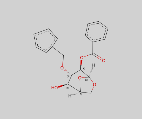 O=C(O[C@H]1[C@H]2OC[C@H](O2)[C@@H](O)[C@@H]1OCc1ccccc1)c1ccccc1